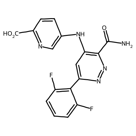 NC(=O)c1nnc(-c2c(F)cccc2F)cc1Nc1ccc(C(=O)O)nc1